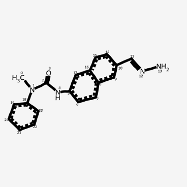 CN(C(=O)Nc1ccc2cc(C=NN)ccc2c1)c1ccccc1